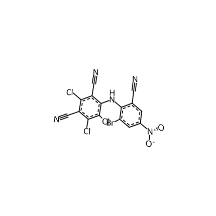 N#Cc1cc([N+](=O)[O-])cc(Br)c1Nc1c(Cl)c(Cl)c(C#N)c(Cl)c1C#N